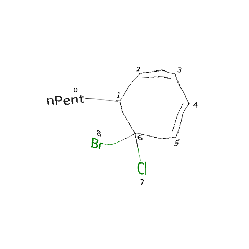 CCCCCC1C=CC=CC1(Cl)Br